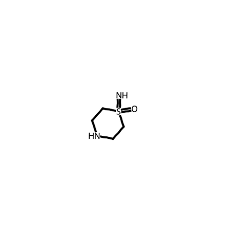 N=S1(=O)CCNCC1